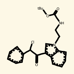 CC(C)(C)OC(=O)NCCn1cc(C(=O)C(Cl)c2ccccc2)c2ccccc21